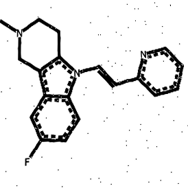 CN1CCc2c(c3cc(F)ccc3n2C=Cc2ccccn2)C1